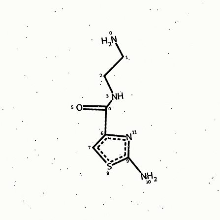 NCCNC(=O)c1csc(N)n1